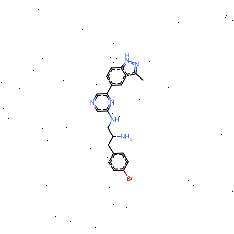 Cc1n[nH]c2ccc(-c3cncc(NCC(N)Cc4ccc(Br)cc4)n3)cc12